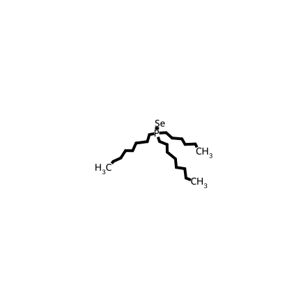 CCCCCCCCP(=[Se])(CCCCCC)CCCCCCCC